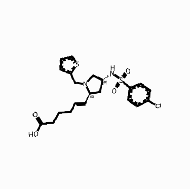 O=C(O)CCCC=C[C@@H]1C[C@@H](NS(=O)(=O)c2ccc(Cl)cc2)CN1Cc1cccs1